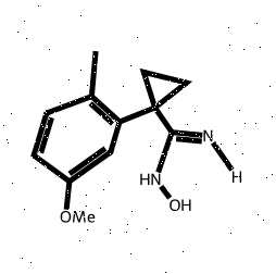 [H]/N=C(\NO)C1(c2cc(OC)ccc2C)CC1